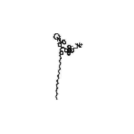 CCCCCCCCCCCCCCCCCCOCC(COP(=O)([O-])OCC[N+](C)(C)C)OC(=O)N1CCCCC1